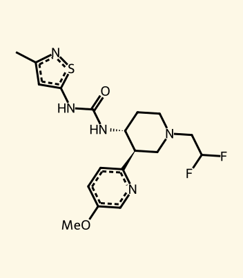 COc1ccc([C@@H]2CN(CC(F)F)CC[C@H]2NC(=O)Nc2cc(C)ns2)nc1